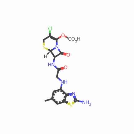 Cc1cc(NCC(=O)NC2C(=O)N3C(OC(=O)O)=C(Cl)CS[C@@H]23)c2nc(N)sc2c1